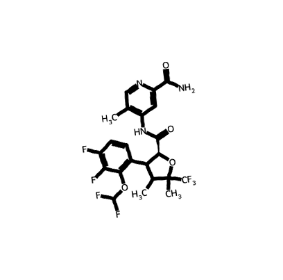 Cc1cnc(C(N)=O)cc1NC(=O)[C@H]1OC(C)(C(F)(F)F)C(C)C1c1ccc(F)c(F)c1OC(F)F